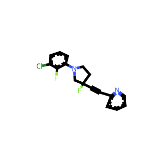 Fc1c(Cl)cccc1N1CCC(F)(C#Cc2ccccn2)C1